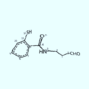 O=CCCNC(=O)c1ccccc1S